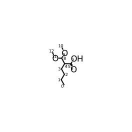 CCCCC(C(=O)O)C(OC)OC